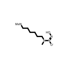 CNCCCCCCN(C)/[N+]([O-])=N\O